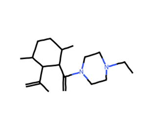 C=C(C)C1C(C)CCC(C)C1C(=C)N1CCN(CC)CC1